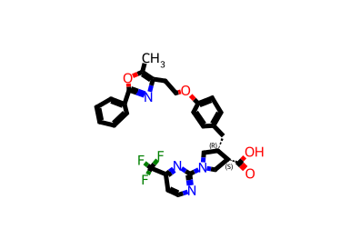 Cc1oc(-c2ccccc2)nc1CCOc1ccc(C[C@H]2CN(c3nccc(C(F)(F)F)n3)C[C@H]2C(=O)O)cc1